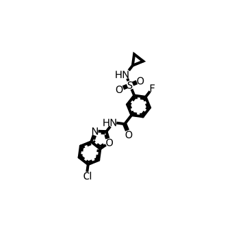 O=C(Nc1nc2ccc(Cl)cc2o1)c1ccc(F)c(S(=O)(=O)NC2CC2)c1